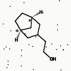 OCCC1C[C@H]2CC[C@@H](C1)C2